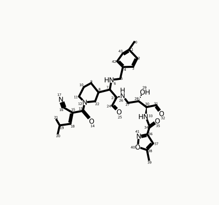 Cc1ccc(CNC(C2CCCN(C(=O)C(C#N)=CC(C)C)C2)[C@@H](C=O)NC[C@H](O)[C@@H](C=O)NC(=O)c2cc(C)on2)cc1